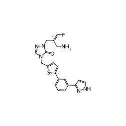 NC/C(=C\F)Cn1ncn(Cc2ccc(-c3cccc(-c4cc[nH]n4)c3)s2)c1=O